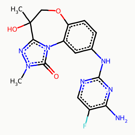 Cn1nc2n(c1=O)-c1cc(Nc3ncc(F)c(N)n3)ccc1OCC2(C)O